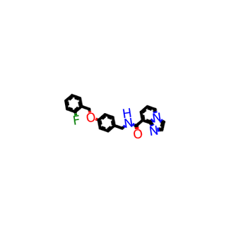 O=C(NCc1ccc(OCc2ccccc2F)cc1)c1cccn2ccnc12